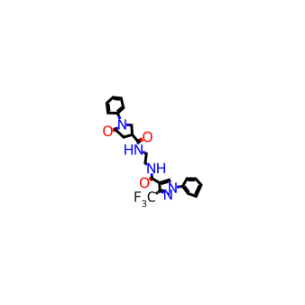 O=C(NCCNC(=O)C1CC(=O)N(c2ccccc2)C1)c1cn(-c2ccccc2)nc1C(F)(F)F